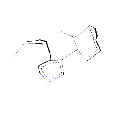 N#C/C=C\c1c[nH]cc1-c1ccccc1Cl